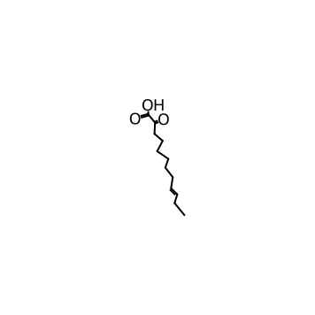 CCC=CCCCCCCC(=O)C(=O)O